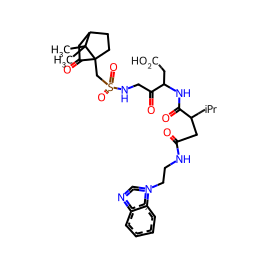 CC(C)C(CC(=O)NCCn1cnc2ccccc21)C(=O)NC(CC(=O)O)C(=O)CNS(=O)(=O)CC12CCC(CC1=O)C2(C)C